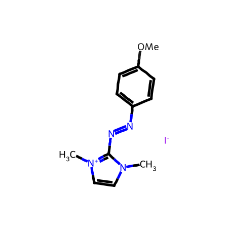 COc1ccc(/N=N/c2n(C)cc[n+]2C)cc1.[I-]